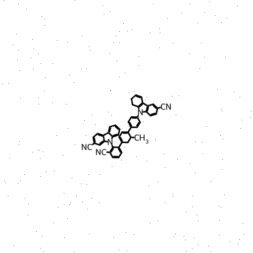 CC1CC(c2cccc(C#N)c2-n2c3ccccc3c3ccc(C#N)cc32)=CC=C1c1ccc(-n2c3c(c4cc(C#N)ccc42)C=CCC3)cc1